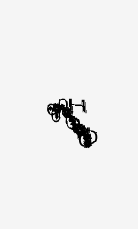 COc1ccc(C(O)c2ccc(COC3CCN(C(=O)OC(C)(C)C)CC3)cc2)cc1OC